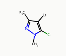 CCc1c(C(F)(F)F)nn(C)c1Cl